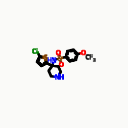 O=S(=O)(NC1(c2ccc(Cl)s2)CCNCC1)c1ccc(OC(F)(F)F)cc1